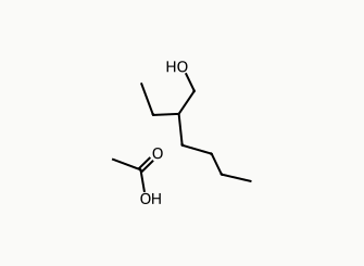 CC(=O)O.CCCCC(CC)CO